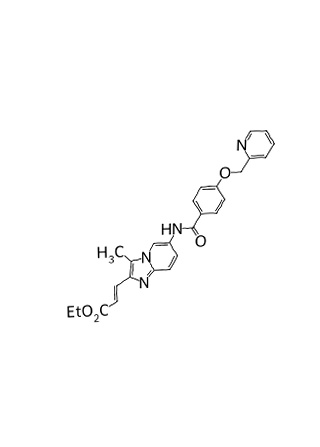 CCOC(=O)/C=C/c1nc2ccc(NC(=O)c3ccc(OCc4ccccn4)cc3)cn2c1C